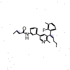 C/C=C/C(=O)Nc1cccc(-c2cnc(C)c(/C(=C\CCC)c3cccc(C)c3F)c2)c1